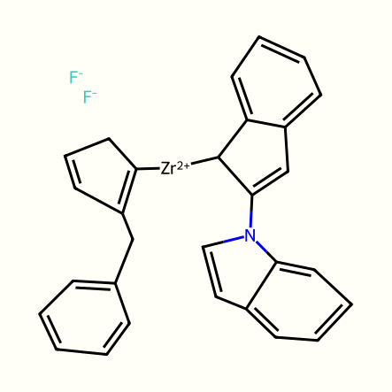 C1=CC(Cc2ccccc2)=[C]([Zr+2][CH]2C(n3ccc4ccccc43)=Cc3ccccc32)C1.[F-].[F-]